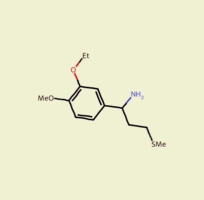 CCOc1cc(C(N)CCSC)ccc1OC